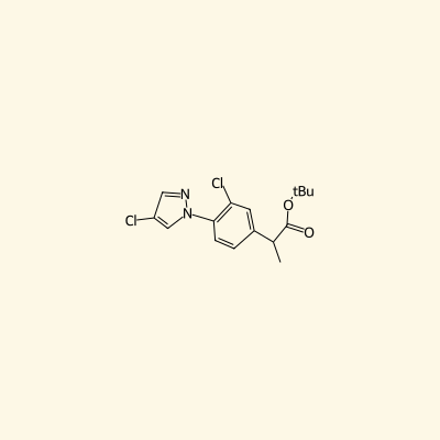 CC(C(=O)OC(C)(C)C)c1ccc(-n2cc(Cl)cn2)c(Cl)c1